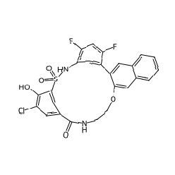 O=C1NCCOc2cc3ccccc3cc2-c2cc(c(F)cc2F)NS(=O)(=O)c2cc1cc(Cl)c2O